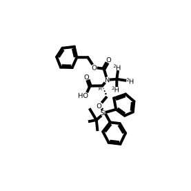 [2H]C([2H])([2H])N(C(=O)OCc1ccccc1)[C@H](CO[Si](c1ccccc1)(c1ccccc1)C(C)(C)C)C(=O)O